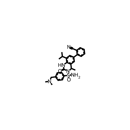 CC(C)c1cc(-c2ccccc2C#N)cc(C(C)C)c1NC(=O)N=S(N)(=O)c1ccc(CN(C)C)cc1